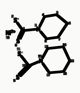 S=C([S-])N1CCCCC1.S=C([S-])N1CCCCC1.[Ni+2]